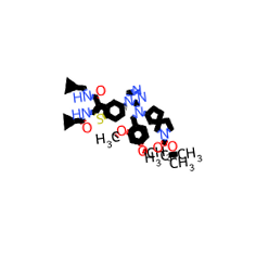 COc1ccc(CN(c2nncn2[C@H]2CCc3sc(NC(=O)C4CC4)c(C(=O)NCC4CC4)c3C2)C2CCC3(CCN(C(=O)OC(C)(C)C)C3)C2)c(OC)c1